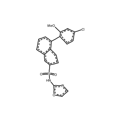 COc1cc(Cl)ccc1-c1cccc2cc(S(=O)(=O)Nc3ncco3)ccc12